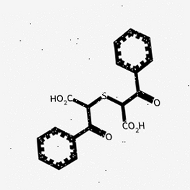 O=C(O)C(SC(C(=O)O)C(=O)c1ccccc1)C(=O)c1ccccc1